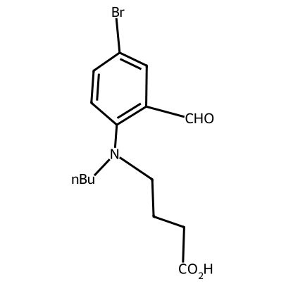 CCCCN(CCCC(=O)O)c1ccc(Br)cc1C=O